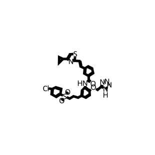 O=C(Nc1cc(CCCS(=O)(=O)c2ccc(Cl)cc2)ccc1OCc1nnn[nH]1)c1cccc(C=Cc2nc(C3CC3)cs2)c1